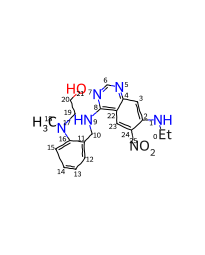 CCNc1cc2ncnc(NCc3ccccc3N(C)CCO)c2cc1[N+](=O)[O-]